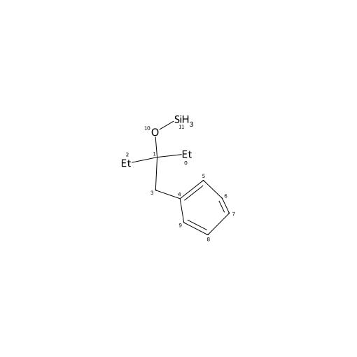 CCC(CC)(Cc1ccccc1)O[SiH3]